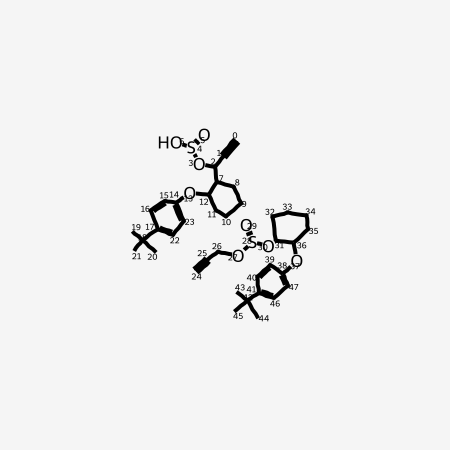 C#CC(OS(=O)O)C1CCCCC1Oc1ccc(C(C)(C)C)cc1.C#CCOS(=O)OC1CCCCC1Oc1ccc(C(C)(C)C)cc1